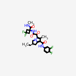 CC[C@@H]1Cc2c(C(=O)Nc3ccc(F)c(F)c3)c(C)c(C(=O)C(=O)NC3(C(=O)NC)CC(F)(F)C3)n2C1